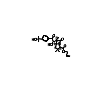 C=CCOC(=O)[C@@H]1N2C(=O)[C@@](Br)(C(O)C(=O)c3ccc(C(C)(C)O)cc3)[C@H]2SC1(C)C